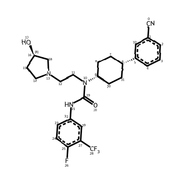 N#Cc1cccc([C@H]2CC[C@@H](N(CCN3CC[C@@H](O)C3)C(=O)Nc3ccc(F)c(C(F)(F)F)c3)CC2)c1